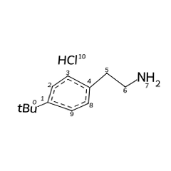 CC(C)(C)c1ccc(CCN)cc1.Cl